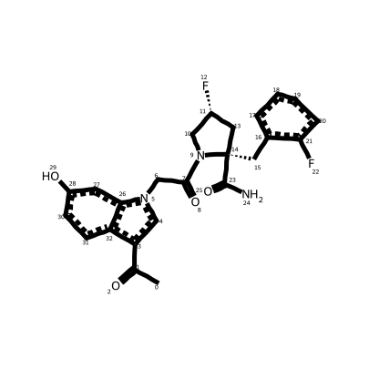 CC(=O)c1cn(CC(=O)N2C[C@H](F)C[C@@]2(Cc2ccccc2F)C(N)=O)c2cc(O)ccc12